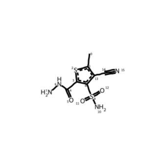 Cc1sc(C(=O)NN)c(S(N)(=O)=O)c1C#N